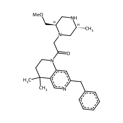 COC[C@H]1CN[C@H](C)CN1CC(=O)N1CCC(C)(C)c2cnc(Cc3ccccc3)cc21